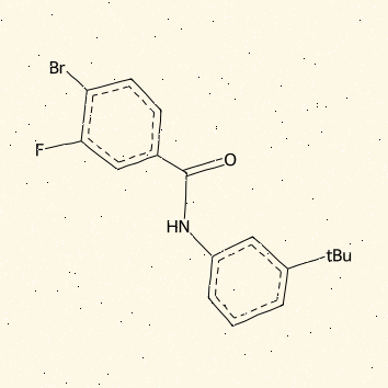 CC(C)(C)c1cccc(NC(=O)c2ccc(Br)c(F)c2)c1